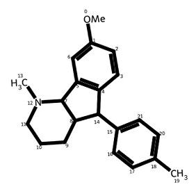 COc1ccc2c(c1)C1C(CCCN1C)C2c1ccc(C)cc1